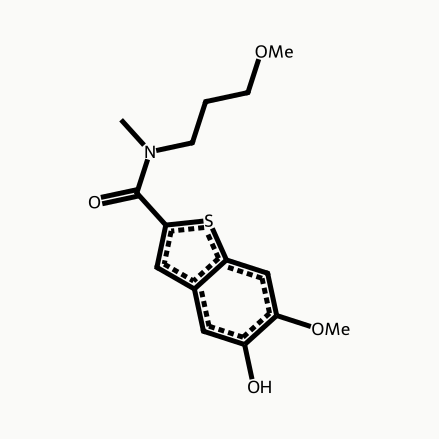 COCCCN(C)C(=O)c1cc2cc(O)c(OC)cc2s1